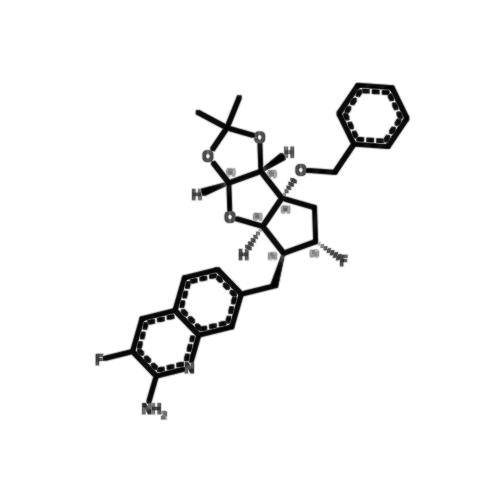 CC1(C)O[C@H]2O[C@@H]3[C@H](Cc4ccc5cc(F)c(N)nc5c4)[C@@H](F)C[C@]3(OCc3ccccc3)[C@H]2O1